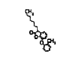 CCCCCCCC1C(=O)Oc2c(Oc3ccccc3C)cccc21